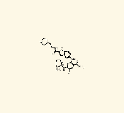 NC(=O)c1cc(F)c(N[C@@H]2CCCC[C@@H]2N)nc1Nc1ccc2[nH]c(C(=O)NCCN3CCOCC3)cc2c1